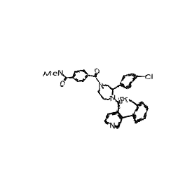 CNC(=O)c1ccc(C(=O)N2CCN(Cc3ccncc3-c3ccccc3C(C)C)C(c3ccc(Cl)cc3)C2)cc1